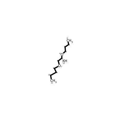 CCCCOCCOCCCC.[KH]